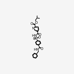 CC(C)COC(=O)c1ccc(C(=O)NS(=O)(=O)c2ccc(C(=O)NCc3ccccc3)cc2)cn1